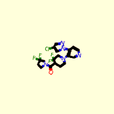 O=C(C1CCN(c2cnccc2-n2cc(Cl)cn2)CC1(F)F)N1CCC(F)(F)C1